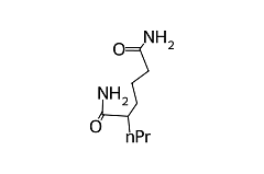 [CH2]CCC(CCCC(N)=O)C(N)=O